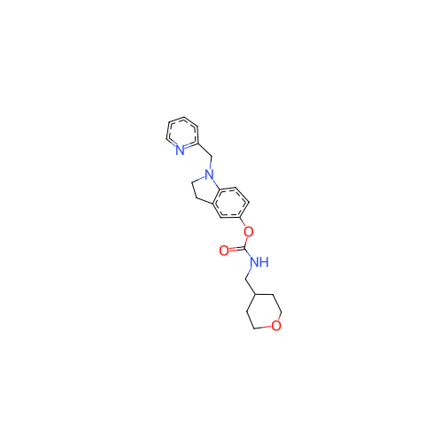 O=C(NCC1CCOCC1)Oc1ccc2c(c1)CCN2Cc1ccccn1